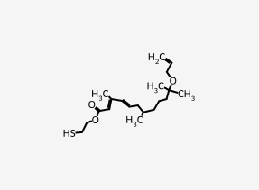 C=CCOC(C)(C)CCCC(C)CC=CC(C)=CC(=O)OCCS